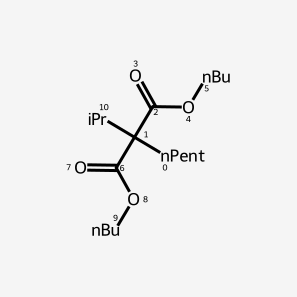 CCCCCC(C(=O)OCCCC)(C(=O)OCCCC)C(C)C